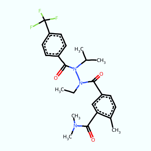 CCN(C(=O)c1ccc(C)c(C(=O)N(C)C)c1)N(C(=O)c1ccc(C(F)(F)F)cc1)C(C)C